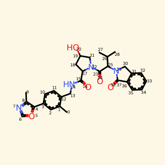 Cc1cc(-c2ocnc2C)ccc1CNC(=O)C1CC(O)CN1C(=O)C(C(C)C)N1Cc2ccccc2C1=O